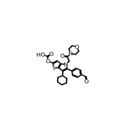 O=Cc1ccc(-c2c(C3CCCCC3)c3sc(OC(=O)O)cc3n2CC(=O)N2CCOCC2)cc1